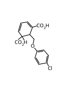 CC1(C(=O)O)C=CC=C(C(=O)O)C1COc1ccc(Cl)cc1